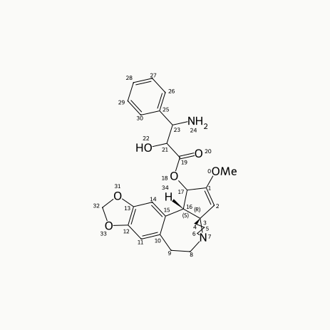 COC1=C[C@]23CCCN2CCc2cc4c(cc2[C@@H]3C1OC(=O)C(O)C(N)c1ccccc1)OCO4